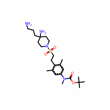 Cc1cc(N(C)C(=O)OC(C)(C)C)cc(C)c1CCS(=O)(=O)N1CCC(N)(CCCN)CC1